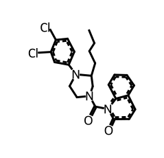 CCCCC1CN(C(=O)n2c(=O)ccc3ccccc32)CCN1c1ccc(Cl)c(Cl)c1